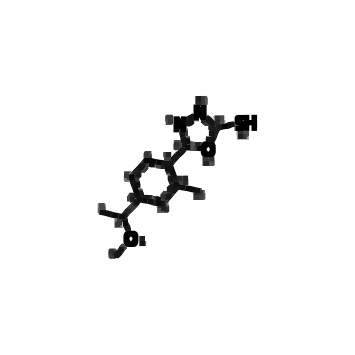 COC(C)c1ccc(-c2nnc(S)o2)c(C)c1